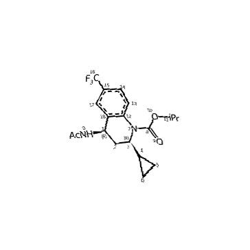 CC(=O)N[C@@H]1C[C@H](C2CC2)N(C(=O)OC(C)C)c2ccc(C(F)(F)F)cc21